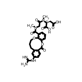 CN(CC(=O)N(C)[C@@H](CC(=O)O)C(=O)O)C(=O)c1cccc2c1OCCCc1cc(NC(=N)N)ccc1C(=O)O2